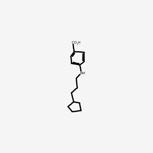 O=C(O)c1ccc(NCCCC2CCCC2)cc1